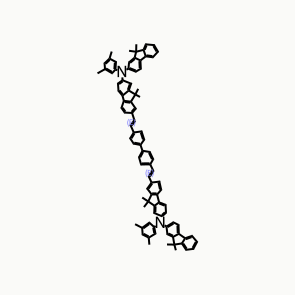 Cc1cc(C)cc(N(c2ccc3c(c2)C(C)(C)c2ccccc2-3)c2ccc3c(c2)C(C)(C)c2cc(/C=C/c4ccc(-c5ccc(/C=C/c6ccc7c(c6)C(C)(C)c6cc(N(c8cc(C)cc(C)c8)c8ccc9c(c8)C(C)(C)c8ccccc8-9)ccc6-7)cc5)cc4)ccc2-3)c1